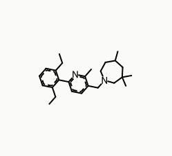 CCc1cccc(CC)c1-c1ccc(CN2CCC(C)CC(C)(C)C2)c(C)n1